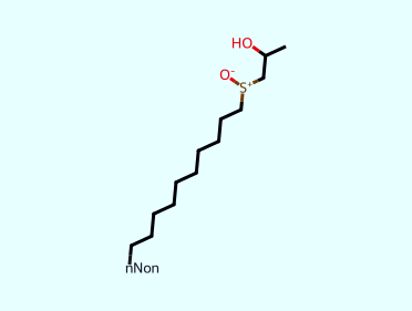 CCCCCCCCCCCCCCCCCCC[S+]([O-])CC(C)O